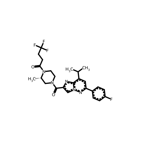 CC(C)c1cc(-c2ccc(F)cc2)nn2cc(C(=O)N3CCN(C(=O)CCC(F)(F)F)[C@@H](C)C3)nc12